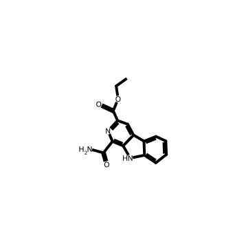 CCOC(=O)c1cc2c([nH]c3ccccc32)c(C(N)=O)n1